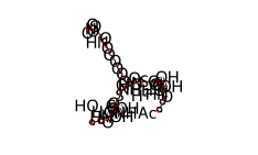 CC(=O)N[C@H]1[C@H]([C@H](O)[C@H](O)CNC(=O)c2ccc(-c3ccccc3)cc2)O[C@@](OCCCSCCNC(=O)c2ccc(C(=O)NCCSCCCO[C@]3(C(=O)O)C[C@H](O)C[C@H]([C@H](O)[C@H](O)CNC(=O)c4ccc(-c5ccccc5)cc4)O3)cc2OCCOCCOCCOCCOCCOCCNC(=O)CCCCC(=O)ON2C(=O)CCC2=O)(C(=O)O)C[C@@H]1O